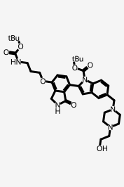 CC(C)(C)OC(=O)NCCCOc1ccc(-c2cc3cc(CN4CCN(CCO)CC4)ccc3n2C(=O)OC(C)(C)C)c2c1CNC2=O